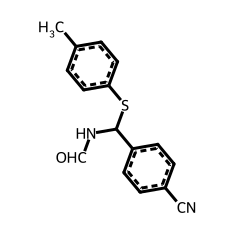 Cc1ccc(SC(NC=O)c2ccc(C#N)cc2)cc1